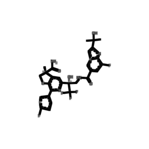 CC(C)(O)c1cn2cc(C(=O)NC[C@](O)(c3cc4c(c(-c5ccc(F)cc5)n3)OC[C@]4(C)C(N)=O)C(F)(F)F)cc(F)c2n1